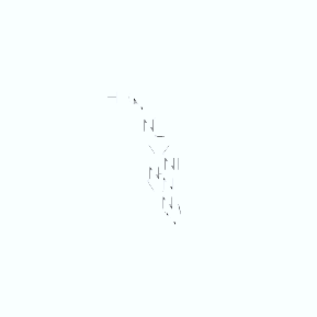 CN1CCN(c2ccc(Nc3nccc(-n4ccnc4)n3)cc2)CC1